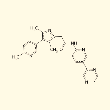 Cc1ccc(-c2c(C)nn(CC(=O)Nc3ccc(-c4cnccn4)cn3)c2C)cn1